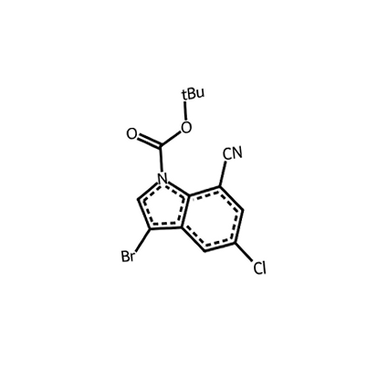 CC(C)(C)OC(=O)n1cc(Br)c2cc(Cl)cc(C#N)c21